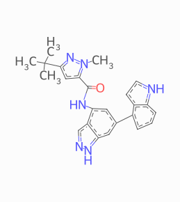 Cn1nc(C(C)(C)C)cc1C(=O)Nc1cc(-c2cccc3[nH]ccc23)cc2[nH]ncc12